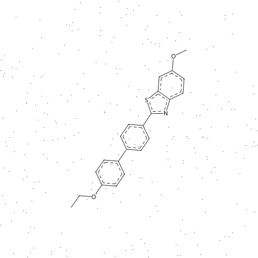 CCOc1ccc(-c2ccc(-c3nc4ccc(OC)cc4s3)cc2)cc1